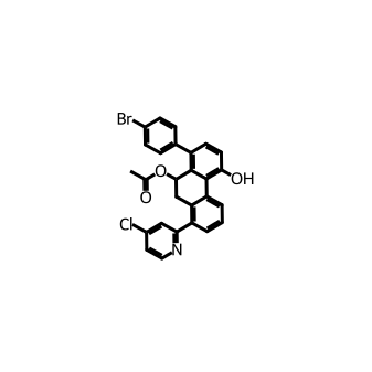 CC(=O)OC1Cc2c(-c3cc(Cl)ccn3)cccc2-c2c(O)ccc(-c3ccc(Br)cc3)c21